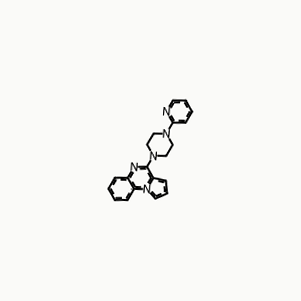 c1ccc(N2CCN(c3nc4ccccc4n4cccc34)CC2)nc1